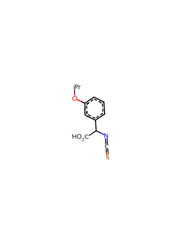 CC(C)Oc1cccc(C(N=C=S)C(=O)O)c1